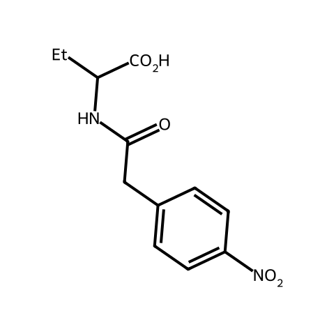 CCC(NC(=O)Cc1ccc([N+](=O)[O-])cc1)C(=O)O